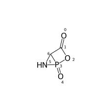 O=C1OP2(=O)NC12